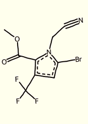 COC(=O)c1c(C(F)(F)F)cc(Br)n1CC#N